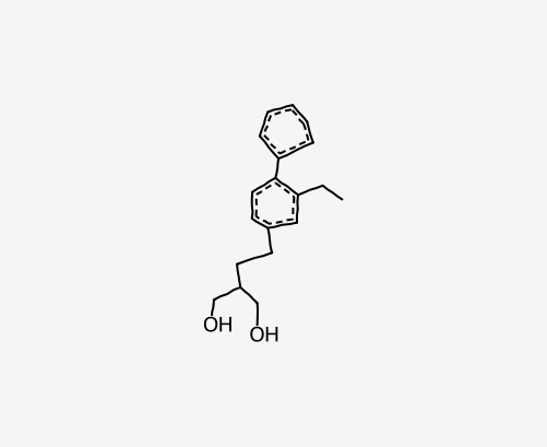 CCc1cc(CCC(CO)CO)ccc1-c1ccccc1